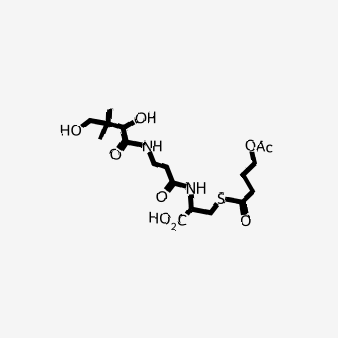 CC(=O)OCCCC(=O)SCC(NC(=O)CCNC(=O)C(O)C(C)(C)CO)C(=O)O